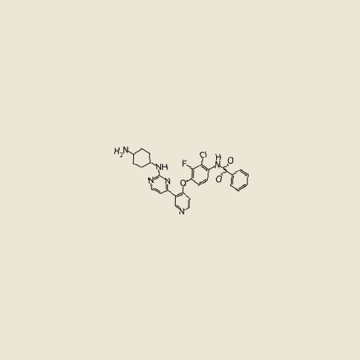 NC1CCC(Nc2nccc(-c3cnccc3Oc3ccc(NS(=O)(=O)c4ccccc4)c(Cl)c3F)n2)CC1